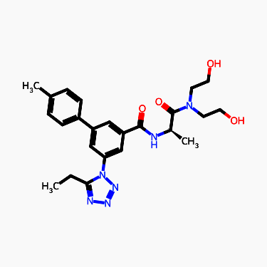 CCc1nnnn1-c1cc(C(=O)N[C@H](C)C(=O)N(CCO)CCO)cc(-c2ccc(C)cc2)c1